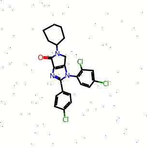 O=C1c2nc(-c3ccc(Cl)cc3)n(-c3ccc(Cl)cc3Cl)c2CN1C1CCCCC1